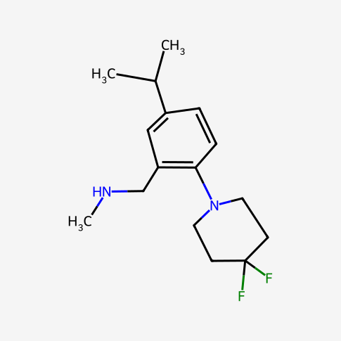 CNCc1cc(C(C)C)ccc1N1CCC(F)(F)CC1